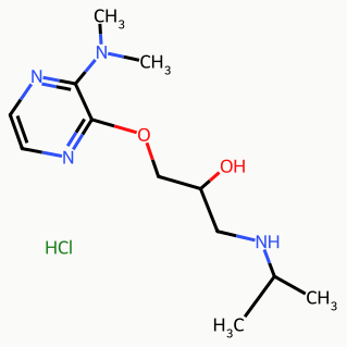 CC(C)NCC(O)COc1nccnc1N(C)C.Cl